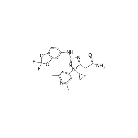 Cc1cc([N+]2(C3CC3)N=C(Nc3ccc4c(c3)OC(F)(F)O4)N=C2CC(N)=O)cc(C)n1